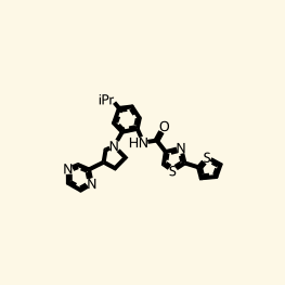 CC(C)c1ccc(NC(=O)c2csc(-c3cccs3)n2)c(N2CCC(c3cnccn3)C2)c1